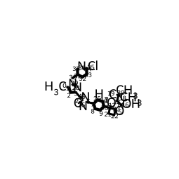 Cc1cc(-c2nc(-c3ccc(C4(OC(C(=O)O)C(C)(C)C)CCC4)cc3)no2)nn1Cc1ccc(Cl)nc1